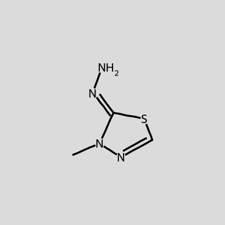 Cn1ncsc1=NN